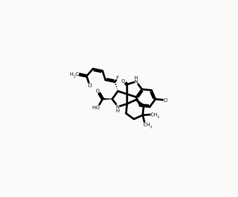 C=C(Cl)/C=C\C=C(/F)[C@H]1[C@H](C(=O)O)NC2(CCC(C)(C)CC2)C12C(=O)Nc1cc(Cl)ccc12